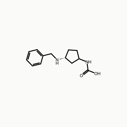 O=C(O)NC1CC[C@@H](NCc2ccccc2)C1